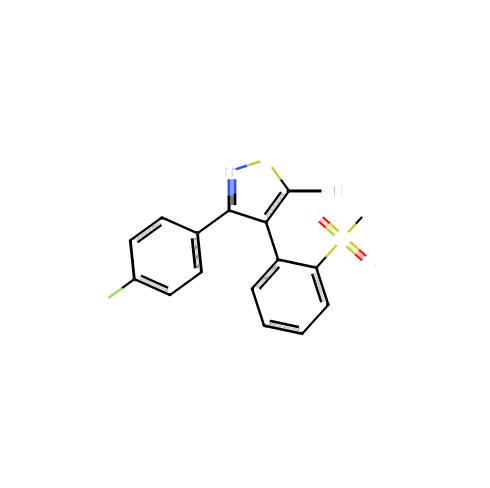 Cc1snc(-c2ccc(F)cc2)c1-c1ccccc1S(C)(=O)=O